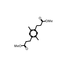 COC(=O)CCc1cc(C)c(CCC(=O)OC)cc1C